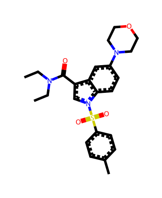 CCN(CC)C(=O)c1cn(S(=O)(=O)c2ccc(C)cc2)c2ccc(N3CCOCC3)cc12